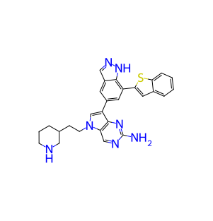 Nc1ncc2c(n1)c(-c1cc(-c3cc4ccccc4s3)c3[nH]ncc3c1)cn2CCC1CCCNC1